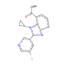 COC(=O)c1cccc2nc(-c3cncc(F)c3)n(C3CC3)c12